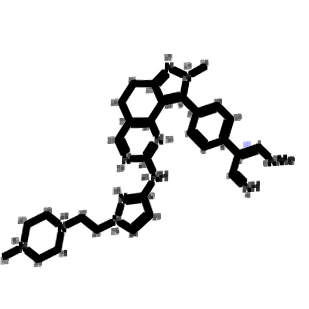 CN/C=C(\C=N)c1ccc(-c2c3c(nn2C)CCc2cnc(Nc4ccn(CCN5CCN(C)CC5)n4)nc2-3)cc1